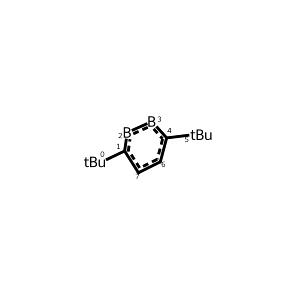 CC(C)(C)c1bbc(C(C)(C)C)cc1